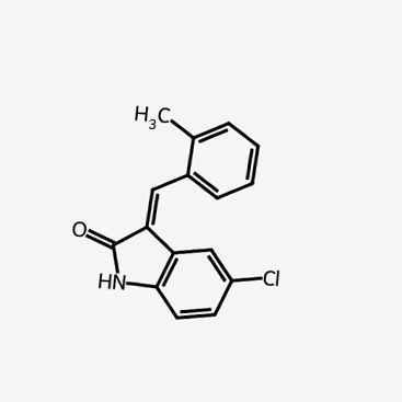 Cc1ccccc1C=C1C(=O)Nc2ccc(Cl)cc21